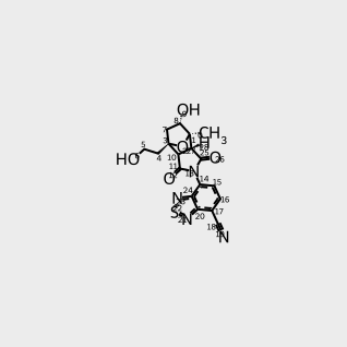 C[C@]12O[C@@](CCO)(C[C@@H]1O)C1C(=O)N(c3ccc(C#N)c4nsnc34)C(=O)[C@H]12